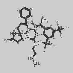 CNCCOC(=O)OCN1C[C@@]2(CCC(=O)N2)CC[C@@]1(CO[C@H](C)c1cc(C(F)(F)F)cc(C(F)(F)F)c1)c1ccccc1